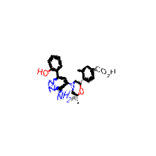 Cc1cc(C(=O)O)ccc1[C@H]1CN(c2cc(-c3ccccc3O)nnc2N)C[C@@H](C)O1